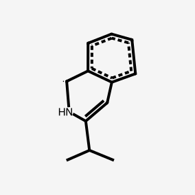 CC(C)C1=Cc2ccccc2[CH]N1